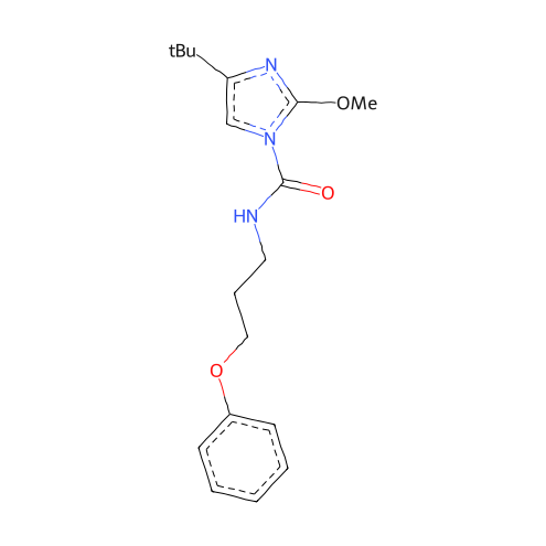 COc1nc(C(C)(C)C)cn1C(=O)NCCCOc1ccccc1